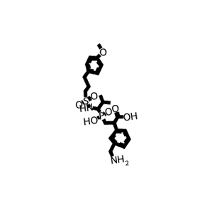 COc1ccc(CCCS(=O)(=O)NC(C(C)C)P(=O)(O)CC(C(=O)O)c2cccc(CN)c2)cc1